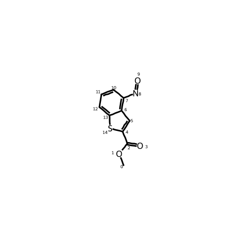 COC(=O)c1cc2c(N=O)cccc2s1